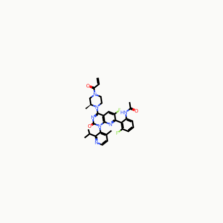 C=CC(=O)N1CCN(c2nc(=O)n(-c3c(C)ccnc3C(C)C)c3nc(-c4c(F)cccc4NC(C)=O)c(F)cc23)[C@@H](C)C1